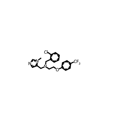 Cn1cncc1CN(CCOc1ccc(C(F)(F)F)cc1)Cc1ccccc1Cl